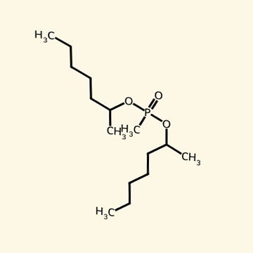 CCCCCC(C)OP(C)(=O)OC(C)CCCCC